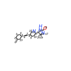 Cc1cccc(C#Cc2ccc(C3NC(=O)N(C)C3(C)C)nc2)c1